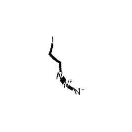 [N-]=[N+]=NCCI